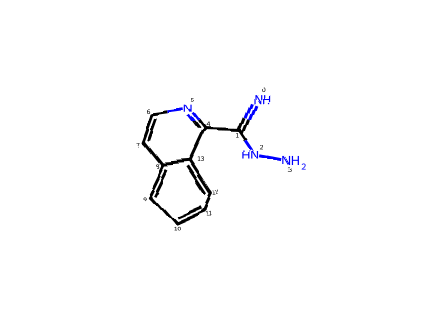 N=C(NN)c1nccc2ccccc12